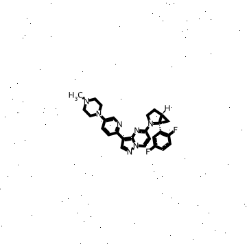 CN1CCN(c2ccc(-c3cnn4ccc(N5CC[C@H]6C[C@]65c5cc(F)ccc5F)nc34)nc2)CC1